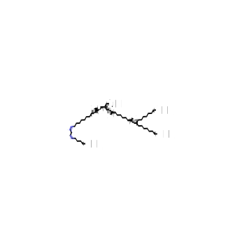 CCCCC/C=C\C/C=C\CCCCCCCCOC(=O)OCC(CO)COC(=O)CCCCCCC(=O)OC(CCCCCCCC)CCCCCCCC